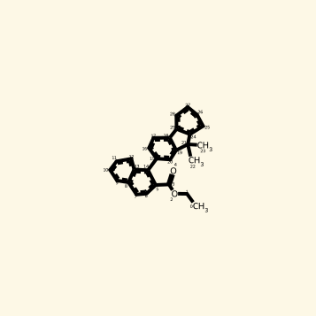 CCOC(=O)c1ccc2ccccc2c1-c1ccc2c(c1)C(C)(C)c1ccccc1-2